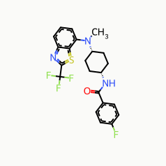 CN(c1cccc2nc(C(F)(F)F)sc12)[C@H]1CC[C@@H](NC(=O)c2ccc(F)cc2)CC1